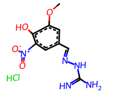 COc1cc(C=NNC(=N)N)cc([N+](=O)[O-])c1O.Cl